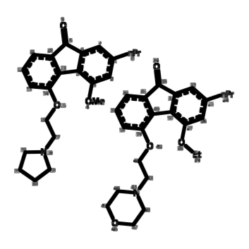 CCCc1cc(OC)c2c(c1)C(=O)c1cccc(OCCN3CCCC3)c1-2.CCCc1cc(OCC)c2c(c1)C(=O)c1cccc(OCCN3CCOCC3)c1-2